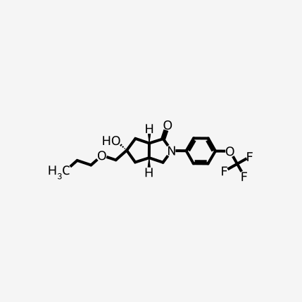 CCCOC[C@]1(O)C[C@H]2CN(c3ccc(OC(F)(F)F)cc3)C(=O)[C@H]2C1